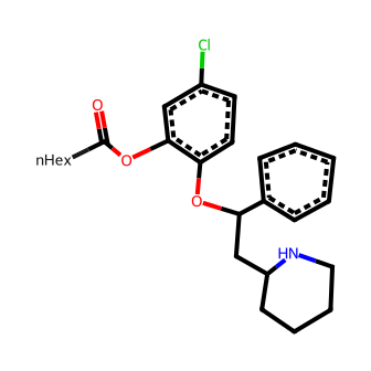 CCCCCCC(=O)Oc1cc(Cl)ccc1OC(CC1CCCCN1)c1ccccc1